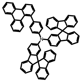 c1ccc2c(c1)-c1ccccc1C21c2ccccc2-c2ccc(N(c3ccc(-c4cccc5c6ccccc6c6ccccc6c45)cc3)c3ccc4c(c3)C3(c5ccccc5-c5ccccc53)c3ccccc3-4)cc21